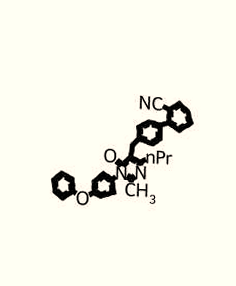 CCCc1nc(C)n(-c2ccc(Oc3ccccc3)cc2)c(=O)c1Cc1ccc(-c2ccccc2C#N)cc1